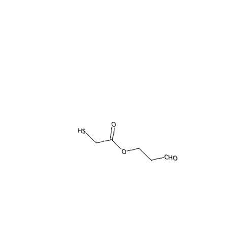 O=CCCOC(=O)CS